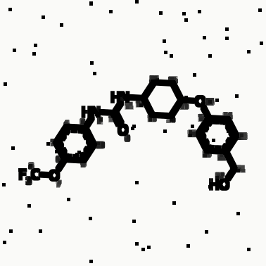 O=C(Nc1ccc(OC(F)(F)F)cc1)NC1CCC(Oc2ccc(CO)cc2)CC1